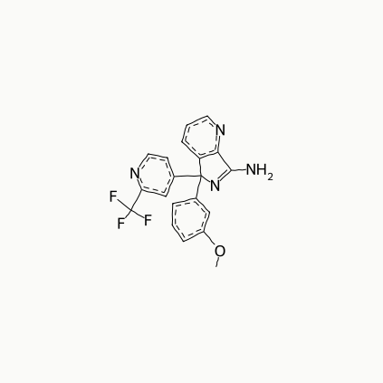 COc1cccc(C2(c3ccnc(C(F)(F)F)c3)N=C(N)c3ncccc32)c1